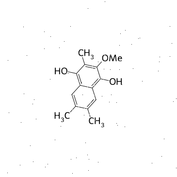 COc1c(C)c(O)c2cc(C)c(C)cc2c1O